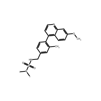 COc1ccc2c(-c3ccc(CNS(=O)(=O)N(I)I)cc3C)ccnc2c1